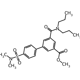 CCCN(CCC)C(=O)c1cc(C(=O)OC)cc(-c2ccc(S(=O)(=O)N(C)C)cc2)c1